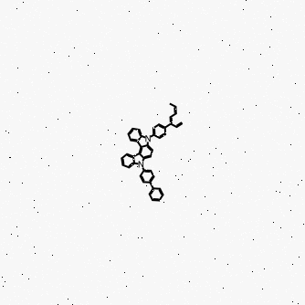 C=C/C(=C\C=C/C)c1ccc(-n2c3ccccc3c3c4c5ccccc5n(-c5ccc(-c6ccccc6)cc5)c4ccc32)cc1